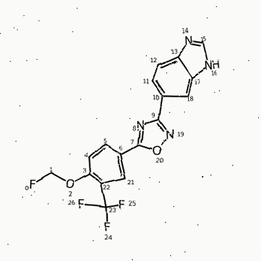 FCOc1ccc(-c2nc(-c3ccc4nc[nH]c4c3)no2)cc1C(F)(F)F